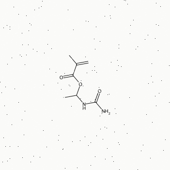 [CH2]C(NC(N)=O)OC(=O)C(=C)C